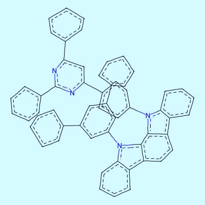 c1ccc(-c2cc(-c3ccccc3)cc(-n3c4ccccc4c4ccc5c6ccccc6n(-c6ccc(-c7cc(-c8ccccc8)nc(-c8ccccc8)n7)cc6)c5c43)c2)cc1